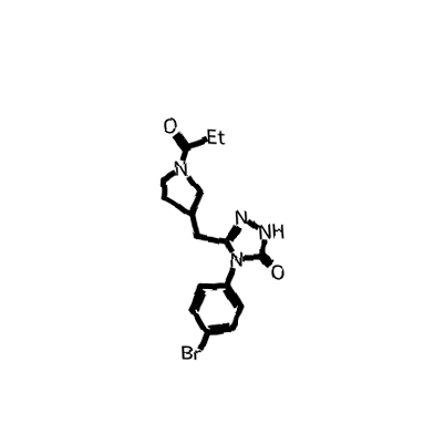 CCC(=O)N1CCC(Cc2n[nH]c(=O)n2-c2ccc(Br)cc2)C1